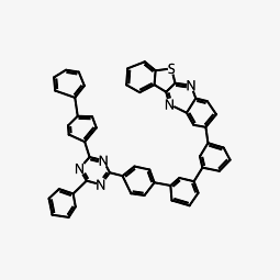 c1ccc(-c2ccc(-c3nc(-c4ccccc4)nc(-c4ccc(-c5cccc(-c6cccc(-c7ccc8nc9sc%10ccccc%10c9nc8c7)c6)c5)cc4)n3)cc2)cc1